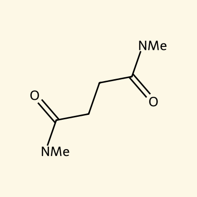 [CH2]NC(=O)CCC(=O)NC